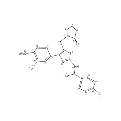 CC[C@@H]1CCCN1Cc1sc(NC(O)c2cnc(Cl)cn2)nc1-c1ccc(OC)c(C(F)(F)F)c1